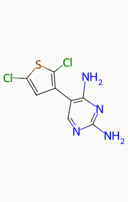 Nc1ncc(-c2cc(Cl)sc2Cl)c(N)n1